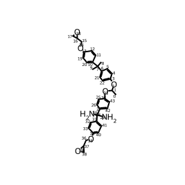 CC(Oc1ccc(C(C)(C)c2ccc(OCC3CO3)cc2)cc1)Oc1ccc(C(N)(N)c2ccc(OCC3CO3)cc2)cc1